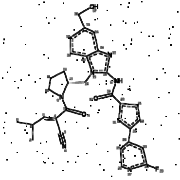 CC(C)/C=C(\C#N)C(=O)N1CCC[C@@H]1Cn1c(NC(=O)c2ccc(-c3ccnc(F)c3)s2)nc2cc(CO)ccc21